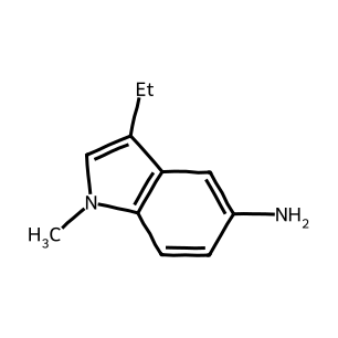 CCc1cn(C)c2ccc(N)cc12